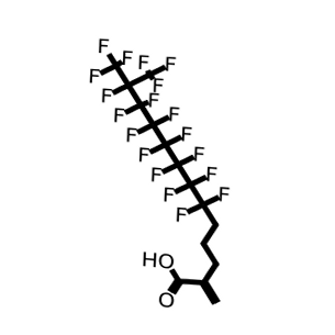 C=C(CCCC(F)(F)C(F)(F)C(F)(F)C(F)(F)C(F)(F)C(F)(F)C(F)(C(F)(F)F)C(F)(F)F)C(=O)O